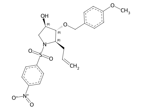 C=CC[C@@H]1[C@@H](OCc2ccc(OC)cc2)[C@H](O)CN1S(=O)(=O)c1ccc([N+](=O)[O-])cc1